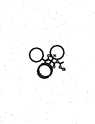 CCOC(C)OC(=O)C(C(C(=O)O)=C(C1CCCCCCCCCCC1)C1CCCCCCCCCCC1)(C1CCCCCCCCCCC1)C1CCCCCCCCCCC1